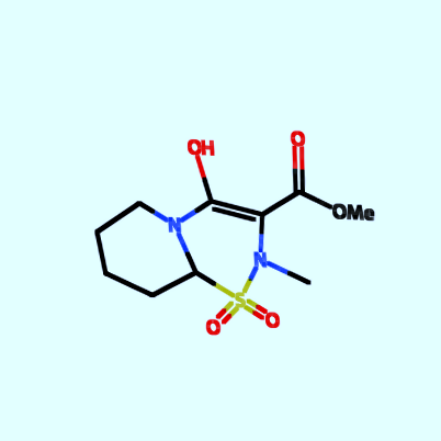 COC(=O)C1=C(O)N2CCCCC2S(=O)(=O)N1C